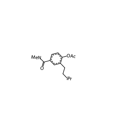 CNC(=O)c1ccc(OC(C)=O)c(CCC(C)C)c1